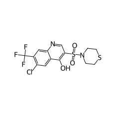 O=S(=O)(c1cnc2cc(C(F)(F)F)c(Cl)cc2c1O)N1CCSCC1